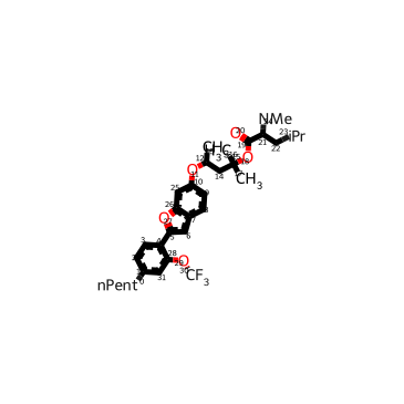 CCCCCc1ccc(-c2cc3ccc(OC(C)CC(C)(C)OC(=O)C(CC(C)C)NC)cc3o2)c(OC(F)(F)F)c1